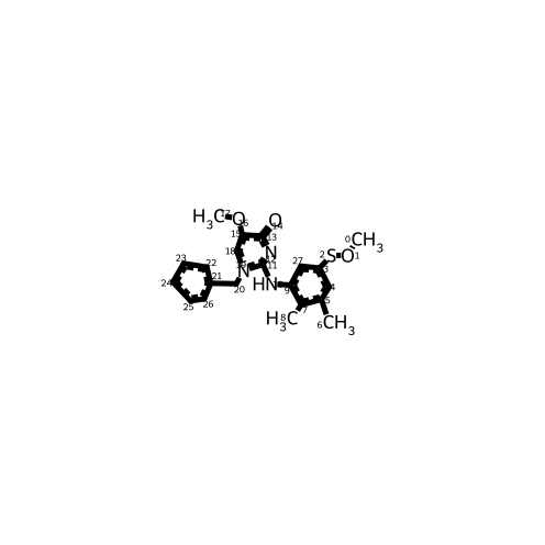 COSc1cc(C)c(C)c(Nc2nc(=O)c(OC)cn2Cc2ccccc2)c1